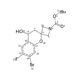 CC(C)(C)OC(=O)N1CC2(CC(O)c3cc(F)c(Br)cc3O2)C1